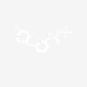 CC(C)(C)OC(=O)Nc1cccc(Cc2ccc(Cl)nc2)n1